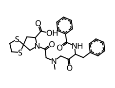 CN(CC(=O)C(Cc1ccccc1)NC(=O)c1ccccc1)CC(=O)N1CC2(CC1C(=O)O)SCCS2